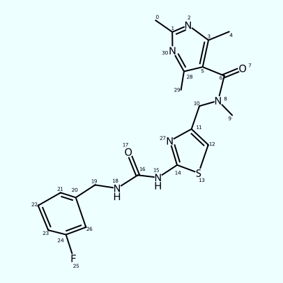 Cc1nc(C)c(C(=O)N(C)Cc2csc(NC(=O)NCc3cccc(F)c3)n2)c(C)n1